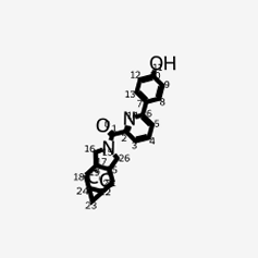 O=C(c1cccc(-c2ccc(O)cc2)n1)N1CC2C3CCC(C4CC34)C2C1